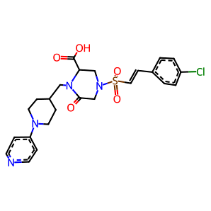 O=C(O)C1CN(S(=O)(=O)/C=C/c2ccc(Cl)cc2)CC(=O)N1CC1CCN(c2ccncc2)CC1